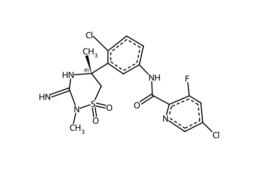 CN1C(=N)N[C@](C)(c2cc(NC(=O)c3ncc(Cl)cc3F)ccc2Cl)CS1(=O)=O